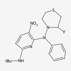 CC(C)(C)Nc1ccc([N+](=O)[O-])c(N(c2ccccc2)N2CCSCC2F)n1